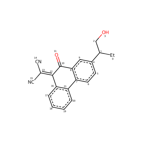 CCC(CO)c1ccc2c(c1)C(=O)C(=C(C#N)C#N)c1ccccc1-2